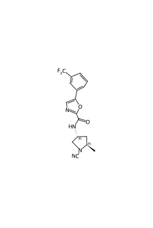 C[C@@H]1C[C@@H](NC(=O)c2ncc(-c3cccc(C(F)(F)F)c3)o2)CN1C#N